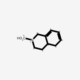 O=C(O)N1CCC2CC=CC=C2C1